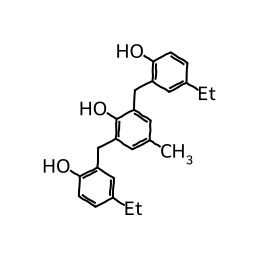 CCc1ccc(O)c(Cc2cc(C)cc(Cc3cc(CC)ccc3O)c2O)c1